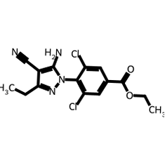 CCOC(=O)c1cc(Cl)c(-n2nc(CC)c(C#N)c2N)c(Cl)c1